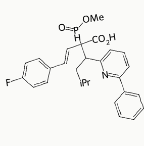 CO[PH](=O)C(C=Cc1ccc(F)cc1)(C(=O)O)C(CC(C)C)c1cccc(-c2ccccc2)n1